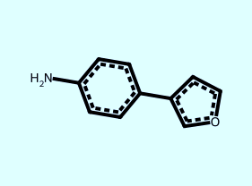 Nc1ccc(-c2ccoc2)cc1